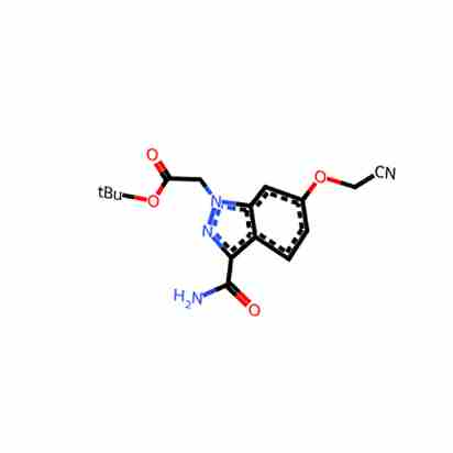 CC(C)(C)OC(=O)Cn1nc(C(N)=O)c2ccc(OCC#N)cc21